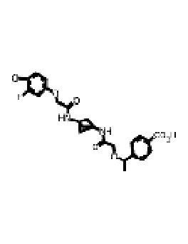 CC(OCC(=O)NC12CC(NC(=O)COc3ccc(Cl)c(F)c3)(C1)C2)c1ccc(C(=O)O)cc1